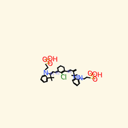 C=C(/C=C/C1=C(Cl)C(=C/C=C2/N(CCCS(=O)(=O)O)c3ccccc3C2(C)C)/CCC1)C(C)(C)c1ccccc1NCCCS(=O)(=O)O